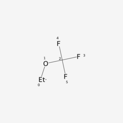 C[CH]OC(F)(F)F